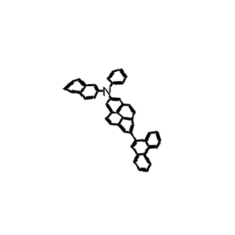 c1ccc(N(c2ccc3ccccc3c2)c2cc3ccc4cc(-c5cc6ccccc6c6ccccc56)cc5ccc(c2)c3c45)cc1